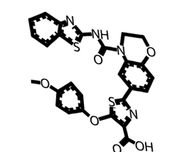 COc1ccc(Oc2sc(-c3ccc4c(c3)N(C(=O)Nc3nc5ccccc5s3)CCO4)nc2C(=O)O)cc1